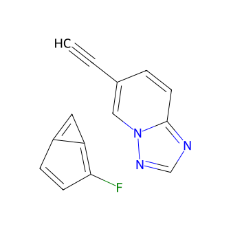 C#Cc1ccc2ncnn2c1.Fc1ccc2cc1-2